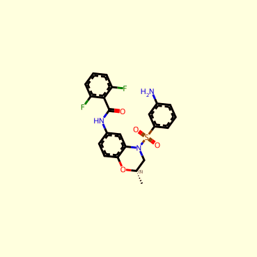 C[C@H]1CN(S(=O)(=O)c2cccc(N)c2)c2cc(NC(=O)c3c(F)cccc3F)ccc2O1